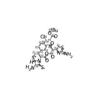 CC(C)(C)OC(=O)CON=C(C(=O)OC(=O)C1=C(c2ccc(CCl)cc2)CS[C@H]2C(N)C(=S)N12)c1csc(N)n1